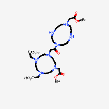 CC(C)(C)OC(=O)CN1CCNCCN(C(=O)CN2CCN(CC(=O)O)CCN(CC(=O)O)CCN(CC(=O)OC(C)(C)C)CC2)CCNCC1